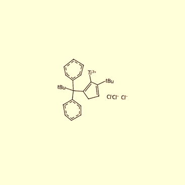 CC(C)(C)C1=CCC(C(c2ccccc2)(c2ccccc2)C(C)(C)C)=[C]1[Ti+3].[Cl-].[Cl-].[Cl-]